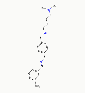 CCCN(CCC)CCCCNCc1ccc(CN=Cc2cccc([N+](=O)[O-])c2)cc1